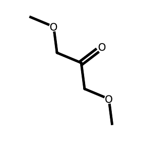 COCC(=O)COC